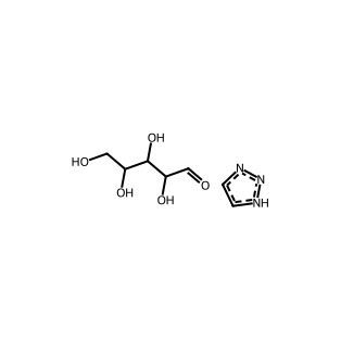 O=CC(O)C(O)C(O)CO.c1c[nH]nn1